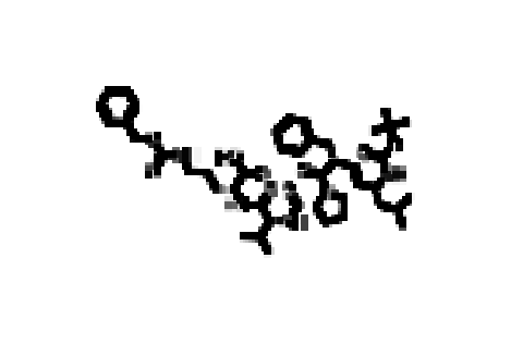 CC(C)C[C@@H](/C=C/[C@H](Cc1ccccc1)C(=O)N1CCC[C@@H]1C(=O)N[C@H](C(=O)N[C@@H](CCCNC(=O)OCc1ccccc1)C(=O)O)C(C)C)NC(=O)OC(C)(C)C